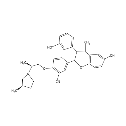 CC1=C(c2cccc(O)c2)C(c2ccc(OC[C@H](C)N3CC[C@@H](C)C3)c(C#N)c2)Oc2ccc(O)cc21